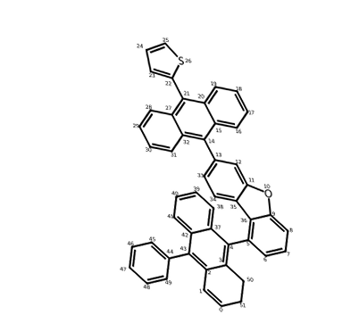 C1=Cc2c(c(-c3cccc4oc5cc(-c6c7ccccc7c(-c7cccs7)c7ccccc67)ccc5c34)c3ccccc3c2-c2ccccc2)CC1